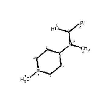 CC(C)C(O)N(C)C1CCN(C)CC1